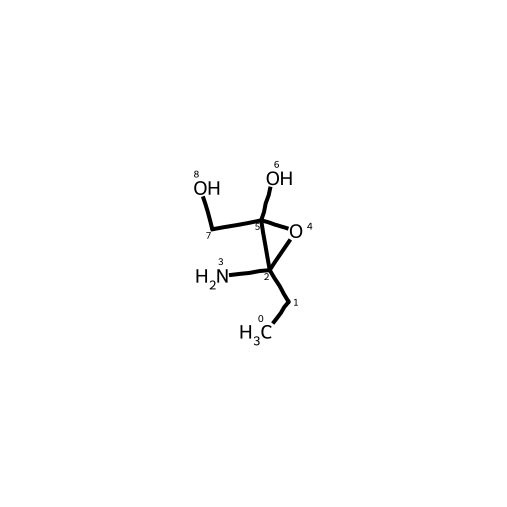 CCC1(N)OC1(O)CO